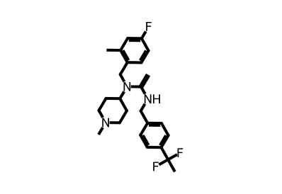 C=C(NCc1ccc(C(C)(F)F)cc1)N(Cc1ccc(F)cc1C)C1CCN(C)CC1